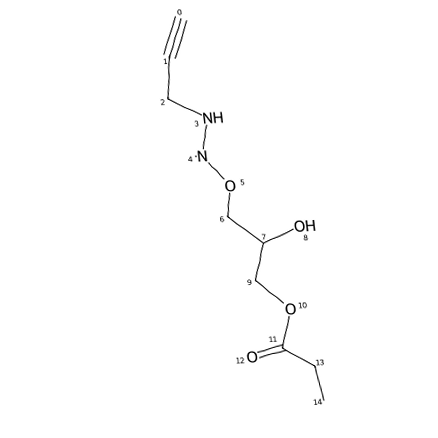 C#CCN[N]OCC(O)COC(=O)CC